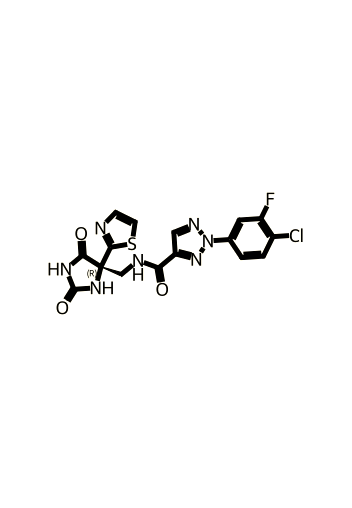 O=C1NC(=O)[C@](CNC(=O)c2cnn(-c3ccc(Cl)c(F)c3)n2)(c2nccs2)N1